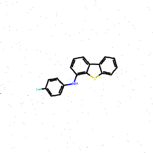 Fc1ccc(Nc2cccc3c2sc2ccccc23)cc1